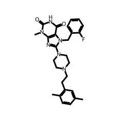 Cc1ccc(C)c(CCN2CCN(c3nc4c(c(=O)[nH]c(=O)n4C)n3Cc3ccccc3F)CC2)c1